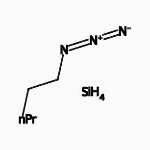 CCCCCN=[N+]=[N-].[SiH4]